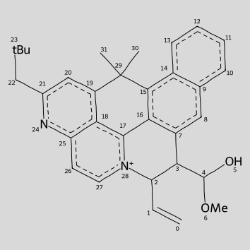 C=CC1C(C(O)OC)c2cc3ccccc3c3c2-c2c4c(cc(CC(C)(C)C)nc4cc[n+]21)C3(C)C